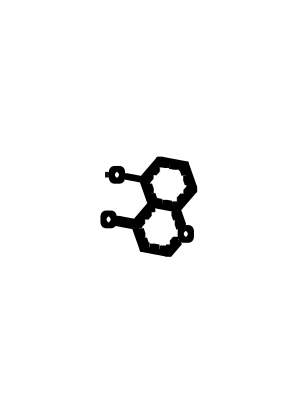 [O]c1cccc2occc(=O)c12